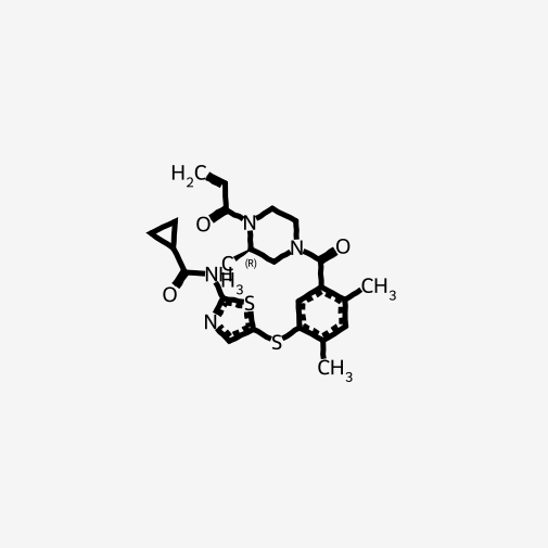 C=CC(=O)N1CCN(C(=O)c2cc(Sc3cnc(NC(=O)C4CC4)s3)c(C)cc2C)C[C@H]1C